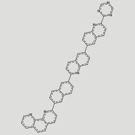 c1cnc2c(c1)ccc1ccc(-c3ccc4cc(-c5ccc6cc(-c7ccc8nc(-c9ncncn9)ccc8c7)ccc6n5)ccc4c3)nc12